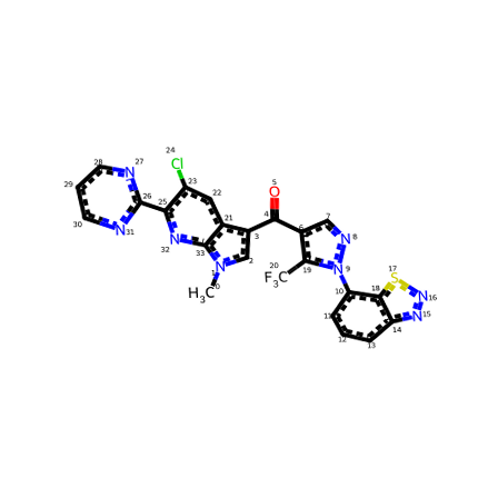 Cn1cc(C(=O)c2cnn(-c3cccc4nnsc34)c2C(F)(F)F)c2cc(Cl)c(-c3ncccn3)nc21